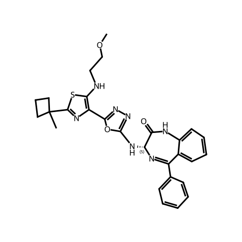 COCCNc1sc(C2(C)CCC2)nc1-c1nnc(N[C@H]2N=C(c3ccccc3)c3ccccc3NC2=O)o1